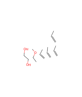 C=CC.C=CC.C=CC.C=CC.CCOC.OCCO